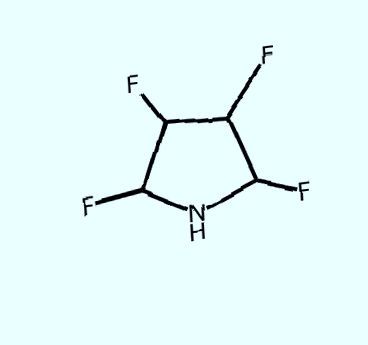 FC1NC(F)C(F)C1F